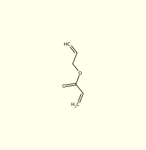 [CH]=CCOC(=O)C=C